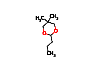 CCCC1OCC(C)(C)CO1